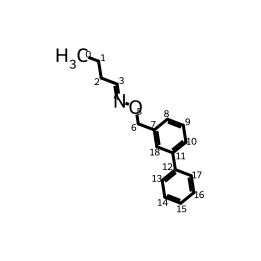 CCCC=NOCc1cccc(-c2ccccc2)c1